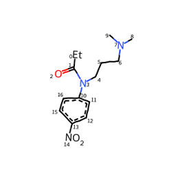 CCC(=O)N(CCCN(C)C)c1ccc([N+](=O)[O-])cc1